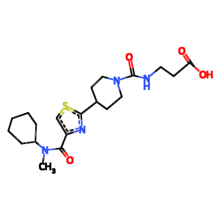 CN(C(=O)c1csc(C2CCN(C(=O)NCCC(=O)O)CC2)n1)C1CCCCC1